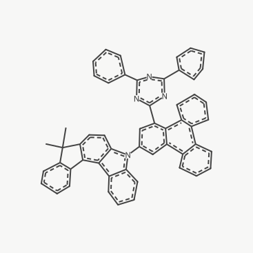 CC1(C)c2ccccc2-c2c1ccc1c2c2ccccc2n1-c1cc(-c2nc(-c3ccccc3)nc(-c3ccccc3)n2)c2c3ccccc3c3ccccc3c2c1